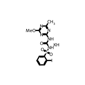 COc1nc(C)nc(NC(=O)NS(=O)(=O)c2ccccc2I)n1.[KH]